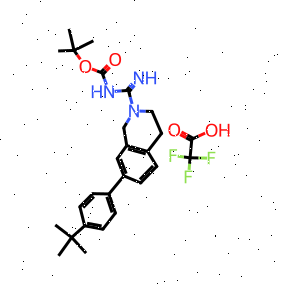 CC(C)(C)OC(=O)NC(=N)N1CCc2ccc(-c3ccc(C(C)(C)C)cc3)cc2C1.O=C(O)C(F)(F)F